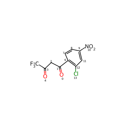 O=C(CC(=O)C(F)(F)F)c1ccc([N+](=O)[O-])cc1Cl